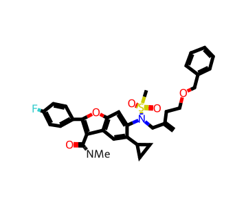 C=C(CCOCc1ccccc1)CN(c1cc2oc(-c3ccc(F)cc3)c(C(=O)NC)c2cc1C1CC1)S(C)(=O)=O